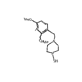 COc1ccc(CN2CCN(S)CC2)c(OC)n1